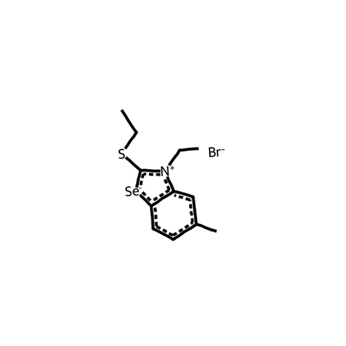 CCSc1[se]c2ccc(C)cc2[n+]1CC.[Br-]